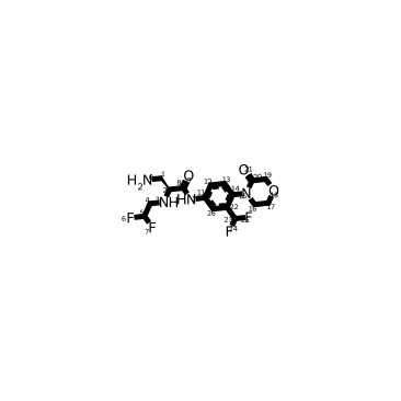 NC[C@H](NCC(F)F)C(=O)Nc1ccc(N2CCOCC2=O)c(C(F)F)c1